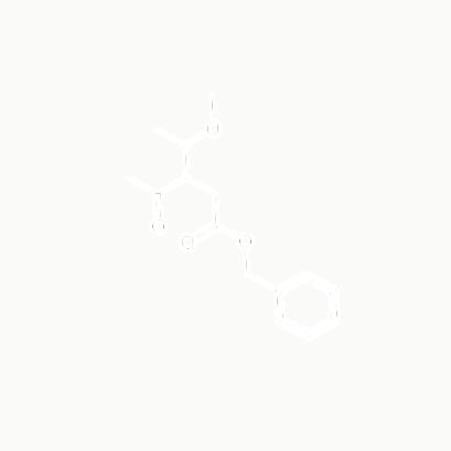 COC(C)C(CC(=O)OCc1ccccc1)C(C)=O